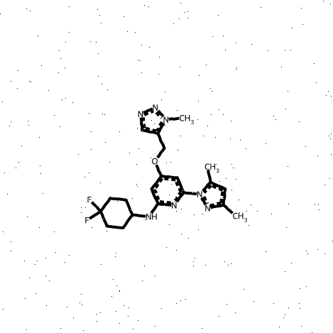 Cc1cc(C)n(-c2cc(OCc3cnnn3C)cc(NC3CCC(F)(F)CC3)n2)n1